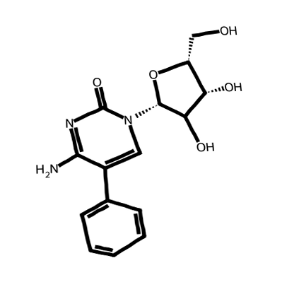 Nc1nc(=O)n([C@@H]2O[C@H](CO)[C@H](O)C2O)cc1-c1ccccc1